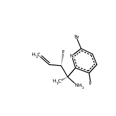 C=C[C@H](F)[C@](C)(N)c1nc(Br)ccc1F